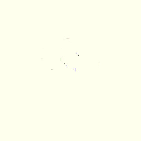 C=C(c1nc2n(n1)C(c1ccccc1)CC2F)C1(C(F)(F)F)CC1